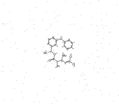 CC(C)C(C(=O)OC(C#N)c1cccc(Oc2ccccc2)c1)C(C=C(Cl)Cl)C(C)(C)C